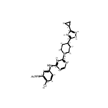 CC(=O)Nc1cc(Nc2ncnc(N3CCC(c4nc(C5CC5)no4)CC3)n2)ccc1Cl